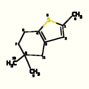 Cc1cc2c(s1)CCC(C)(C)C2